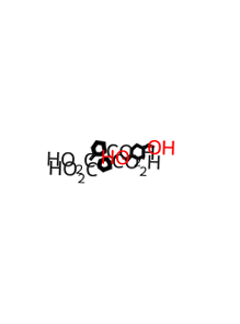 O=C(O)c1ccc(C(=O)O)cc1.O=C(O)c1cccc(C(=O)O)c1.OCC1CCC(CO)CC1